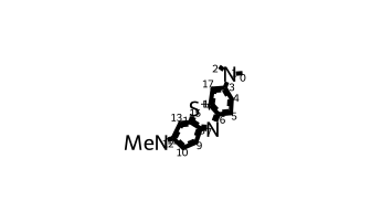 CN(C)c1ccc2nc3ccc(N[11CH3])cc3[s+]c2c1